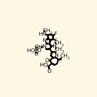 C/C=C1/CC=C(C(=O)O)C(=O)c2cc(-c3cn(COP(=O)(O)O)c4nc5c(NC)cc(F)c(F)c5c-4c3N(C)C)cnc21